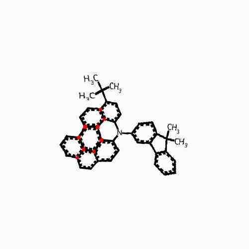 CC(C)(C)c1ccc(N(c2ccc3c(c2)-c2ccccc2C3(C)C)c2ccc3ccccc3c2-c2ccccc2-c2ccccc2)c(-c2ccccc2)c1